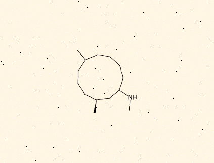 CNC1CCCCC(C)CCC[C@H](C)C1